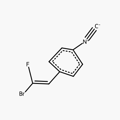 [C-]#[N+]c1ccc(/C=C(\F)Br)cc1